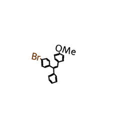 COc1ccc(C=C(c2ccccc2)c2ccc(Br)cc2)cc1